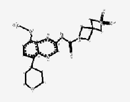 COc1ccc(C2CCOCC2)c2ncc(NC(=O)N3CC4(C3)CS(=O)(=O)C4)nc12